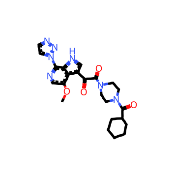 COc1cnc(-n2ccnn2)c2[nH]cc(C(=O)C(=O)N3CCN(C(=O)C4CCCCC4)CC3)c12